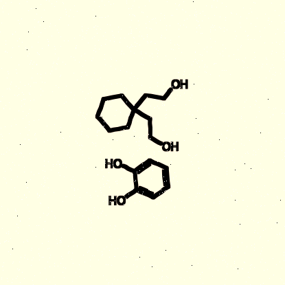 OCCC1(CCO)CCCCC1.Oc1ccccc1O